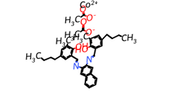 CC(=O)[O-].CC(=O)[O-].CCCCc1cc(C)c(O)c(C=Nc2cc3ccccc3cc2N=Cc2cc(CCCC)cc(C)c2O)c1.[Co+2]